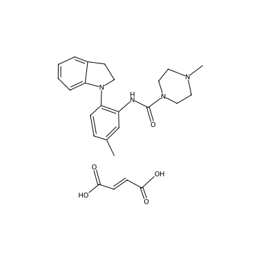 Cc1ccc(N2CCc3ccccc32)c(NC(=O)N2CCN(C)CC2)c1.O=C(O)C=CC(=O)O